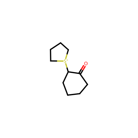 O=C1CCCCC1[S+]1CCCC1